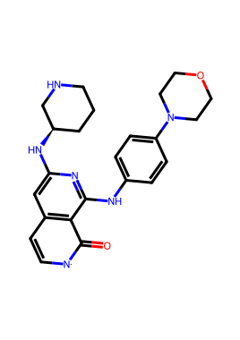 O=C1[N]C=Cc2cc(N[C@@H]3CCCNC3)nc(Nc3ccc(N4CCOCC4)cc3)c21